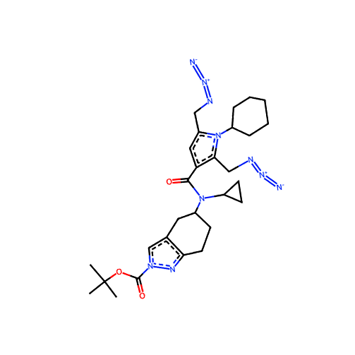 CC(C)(C)OC(=O)n1cc2c(n1)CCC(N(C(=O)c1cc(CN=[N+]=[N-])n(C3CCCCC3)c1CN=[N+]=[N-])C1CC1)C2